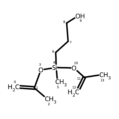 C=C(C)O[Si](C)(CCCO)OC(=C)C